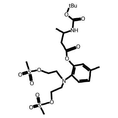 Cc1ccc(N(CCOS(C)(=O)=O)CCOS(C)(=O)=O)c(OC(=O)CC(C)NC(=O)OC(C)(C)C)c1